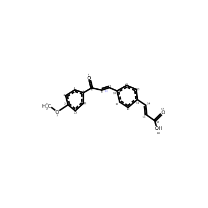 COc1ccc(C(=O)/C=C/c2ccc(C=CC(=O)O)cc2)cc1